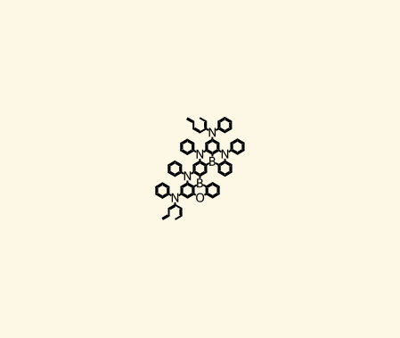 C=C/C=C\C(=C/C)N(c1ccccc1)c1cc2c3c(c1)N(c1ccccc1)c1cc4c(cc1B3c1ccccc1N2c1ccccc1)B1c2ccccc2Oc2cc(N(C(/C=C\C)=C/C=C)c3ccccc3)cc(c21)N4c1ccccc1